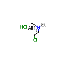 CCN(CC)CCCl.Cl.[AlH3]